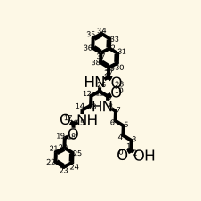 O=C(O)CCCCCNC(=O)C(CCCNC(=O)OCc1ccccc1)NC(=O)c1ccc2ccccc2c1